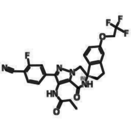 CCC(=O)Nc1c(-c2ccc(C#N)c(F)c2)nn2c1C(=O)N[C@]1(CCc3cc(OCC(F)(F)F)ccc31)C2